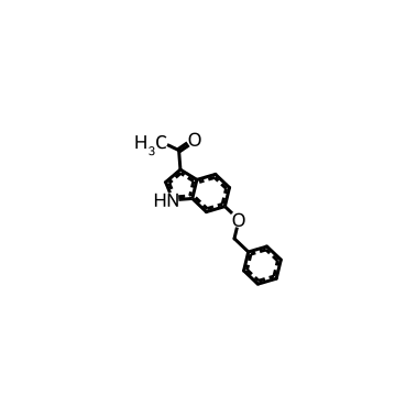 CC(=O)c1c[nH]c2cc(OCc3ccccc3)ccc12